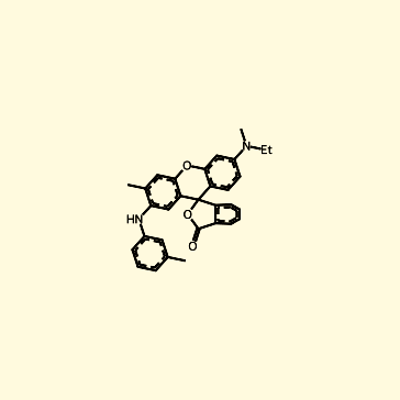 CCN(C)c1ccc2c(c1)Oc1cc(C)c(Nc3cccc(C)c3)cc1C21OC(=O)c2ccccc21